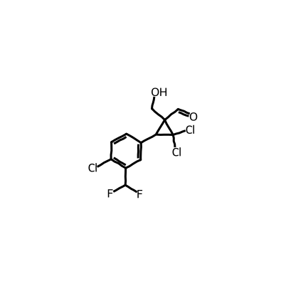 O=CC1(CO)C(c2ccc(Cl)c(C(F)F)c2)C1(Cl)Cl